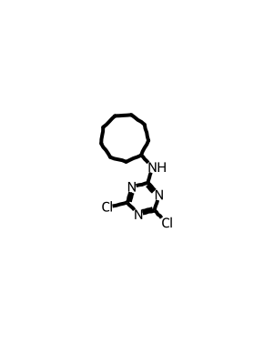 Clc1nc(Cl)nc(NC2CCCCCCCC2)n1